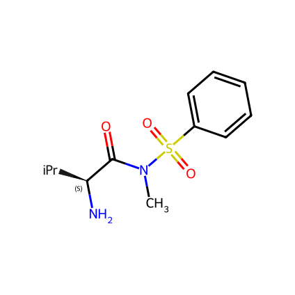 CC(C)[C@H](N)C(=O)N(C)S(=O)(=O)c1ccccc1